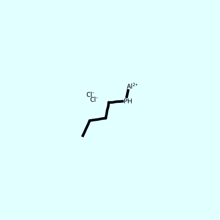 CCCC[PH][Al+2].[Cl-].[Cl-]